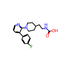 O=C(O)NCCC1CCN(c2ncccc2-c2ccc(F)cc2)CC1